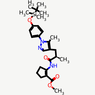 COC(=O)C1=C(NC(=O)[C@H](C)Cc2cnn(-c3ccc(O[Si](C)(C)C(C)(C)C)cc3)c2C)CCC1